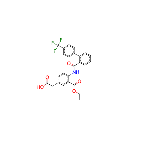 CCOC(=O)c1cc(CC(=O)O)ccc1NC(=O)c1ccccc1-c1ccc(C(F)(F)F)cc1